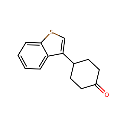 O=C1CCC(c2csc3ccccc23)CC1